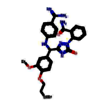 CCOc1cc(C(Nc2ccc(C(=N)N)cc2)c2nn(-c3ccccc3C(N)=O)c(=O)[nH]2)ccc1OCCOC